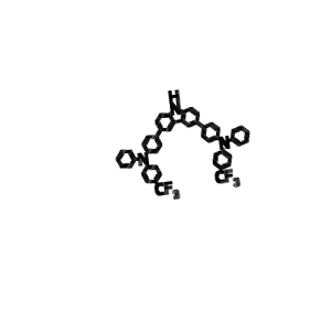 FC(F)(F)c1ccc(N(c2ccccc2)c2ccc(-c3ccc4[nH]c5ccc(-c6ccc(N(c7ccccc7)c7ccc(C(F)(F)F)cc7)cc6)cc5c4c3)cc2)cc1